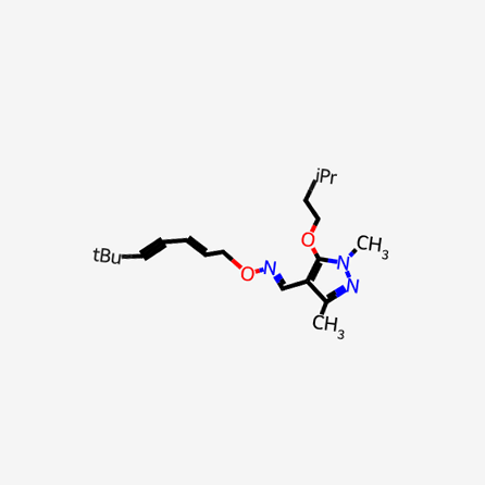 Cc1nn(C)c(OCCC(C)C)c1C=NOCC=CC#CC(C)(C)C